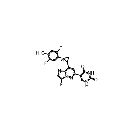 Cc1cc(F)c([C@H]2CC2c2cc(-c3c[nH]c(=O)[nH]c3=O)nn3c(F)cnc23)cc1F